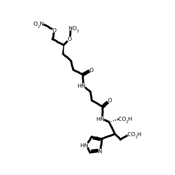 O=C(O)CC(c1c[nH]cn1)[C@H](NC(=O)CCNC(=O)CCC[C@@H](CO[N+](=O)[O-])O[N+](=O)[O-])C(=O)O